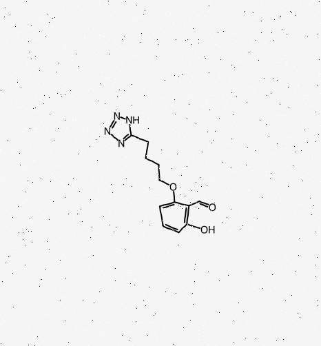 O=Cc1c(O)cccc1OCCCCc1nnn[nH]1